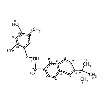 Cc1cc(CNC(=O)c2ccc3cc(C(C)(C)C)ccc3n2)c(Cl)cc1O